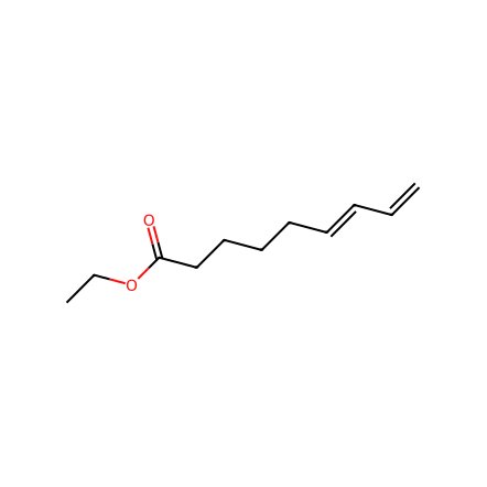 C=CC=CCCCCC(=O)OCC